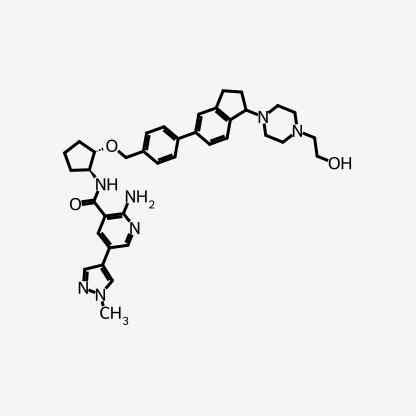 Cn1cc(-c2cnc(N)c(C(=O)N[C@H]3CCC[C@@H]3OCc3ccc(-c4ccc5c(c4)CCC5N4CCN(CCO)CC4)cc3)c2)cn1